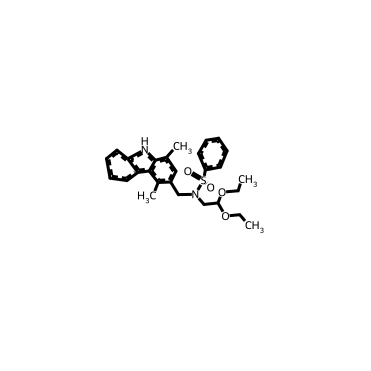 CCOC(CN(Cc1cc(C)c2[nH]c3ccccc3c2c1C)S(=O)(=O)c1ccccc1)OCC